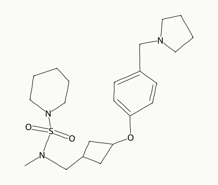 CN(CC1CC(Oc2ccc(CN3CCCC3)cc2)C1)S(=O)(=O)N1CCCCC1